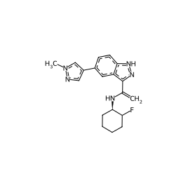 C=C(N[C@@H]1CCCCC1F)c1n[nH]c2ccc(-c3cnn(C)c3)cc12